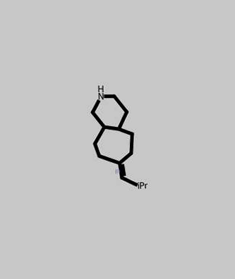 CC(C)/C=C1\CCC2CCNCC2CC1